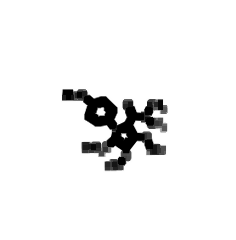 CCCCOc1c(OCCCC)c(C(=O)N(C)C)n(-c2ccc(OC)cc2)c1C(=O)OCC